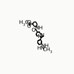 CNNc1cccc(-c2cnc3cc(C(=O)N[C@H]4CCC[C@H](C(=O)OC)C4)ccn23)c1